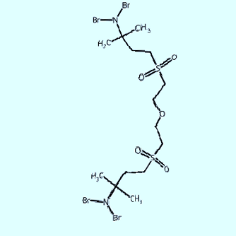 CC(C)(CCS(=O)(=O)CCOCCS(=O)(=O)CCC(C)(C)N(Br)Br)N(Br)Br